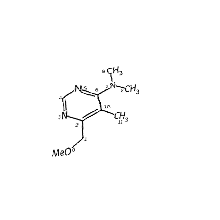 COCc1ncnc(N(C)C)c1C